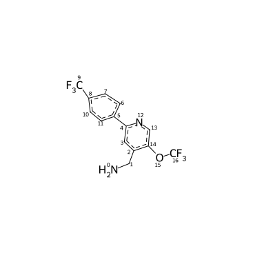 NCc1cc(-c2ccc(C(F)(F)F)cc2)ncc1OC(F)(F)F